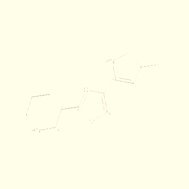 Fc1c[nH]c(-c2coc(C3CCCNC3)n2)c1